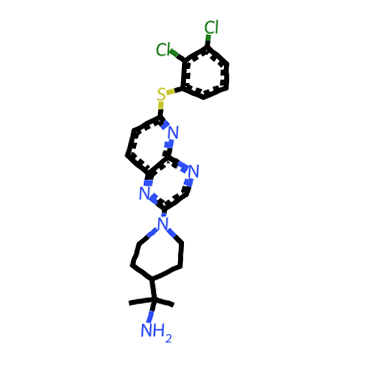 CC(C)(N)C1CCN(c2cnc3nc(Sc4cccc(Cl)c4Cl)ccc3n2)CC1